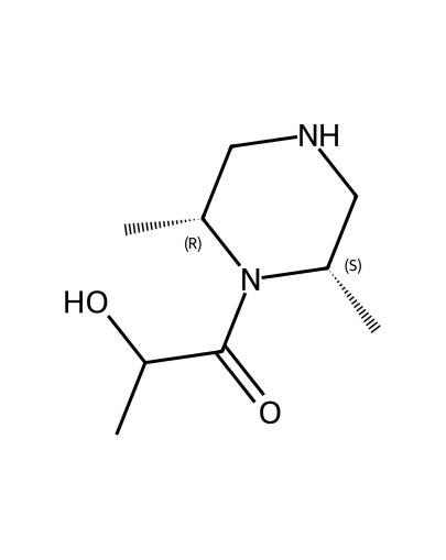 CC(O)C(=O)N1[C@H](C)CNC[C@@H]1C